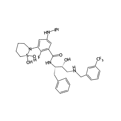 CC(C)Nc1cc(C(=O)N[C@@H](Cc2ccccc2)[C@H](O)CNCc2cccc(C(F)(F)F)c2)c(F)c(N2CCCCS2(O)O)c1